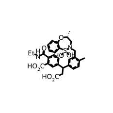 CCNC(=O)c1ccc(C(CC(=O)O)c2ccc(C)c(CN3C[C@@H](C)Oc4ccccc4S3(O)O)c2)cc1C(=O)O